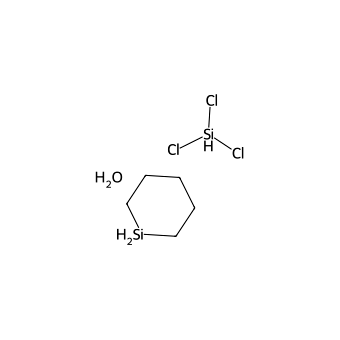 C1CC[SiH2]CC1.Cl[SiH](Cl)Cl.O